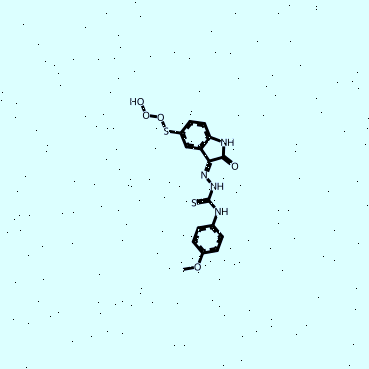 COc1ccc(NC(=S)N/N=C2\C(=O)Nc3ccc(SOOO)cc32)cc1